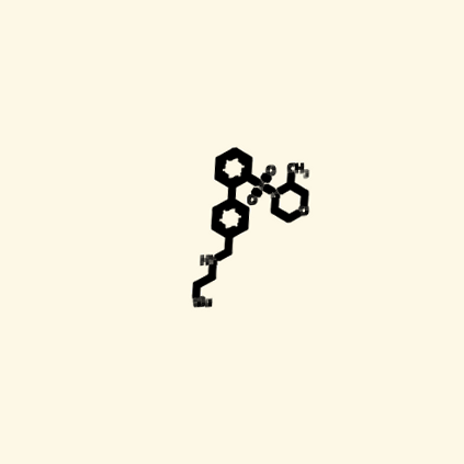 CC1COCCN1S(=O)(=O)c1ccccc1-c1ccc(CNCCC(C)(C)C)cc1